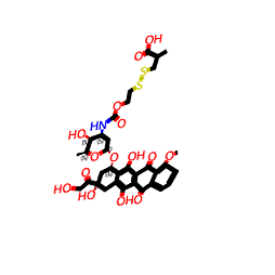 COc1cccc2c1C(=O)c1c(O)c3c(c(O)c1C2=O)C[C@@](O)(C(=O)CO)C[C@@H]3O[C@H]1C[C@H](NC(=O)OCCSSCC(C)C(=O)O)[C@H](O)[C@H](C)O1